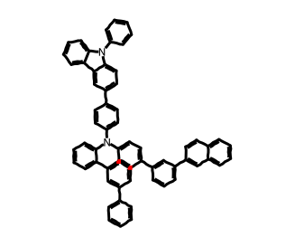 c1ccc(-c2cccc(-c3ccccc3N(c3ccc(-c4cccc(-c5ccc6ccccc6c5)c4)cc3)c3ccc(-c4ccc5c(c4)c4ccccc4n5-c4ccccc4)cc3)c2)cc1